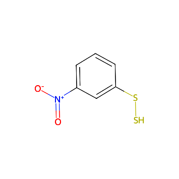 O=[N+]([O-])c1cccc(SS)c1